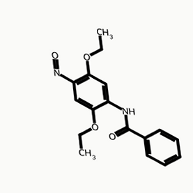 CCOc1cc(NC(=O)c2ccccc2)c(OCC)cc1N=O